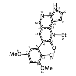 CCn1c(=O)c(-c2cc(OC)cc(OC)c2Cl)cc2cnc3[nH]ccc3c21